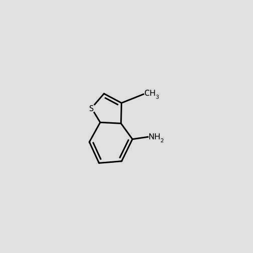 CC1=CSC2C=CC=C(N)C12